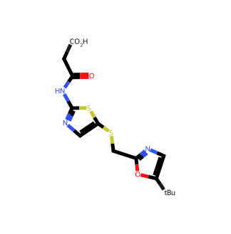 CC(C)(C)c1cnc(CSc2cnc(NC(=O)CC(=O)O)s2)o1